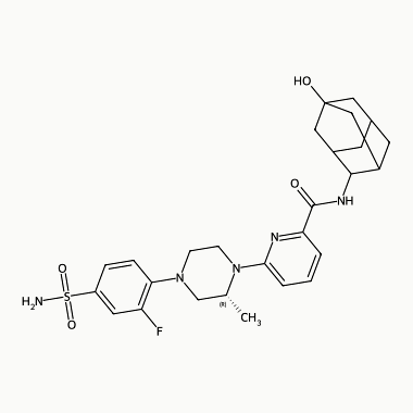 C[C@@H]1CN(c2ccc(S(N)(=O)=O)cc2F)CCN1c1cccc(C(=O)NC2C3CC4CC2CC(O)(C4)C3)n1